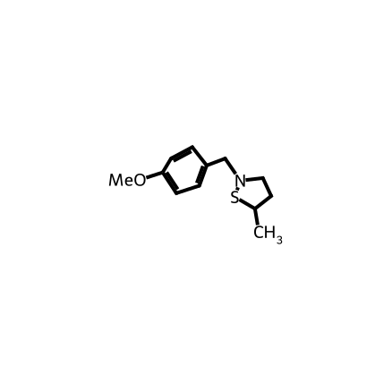 COc1ccc(CN2CCC(C)S2)cc1